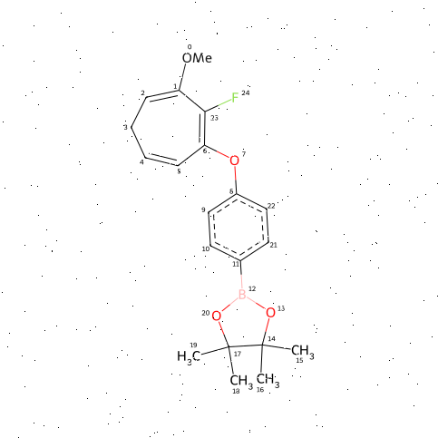 COC1=CCC=CC(Oc2ccc(B3OC(C)(C)C(C)(C)O3)cc2)=C1F